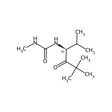 CNC(=O)N[C@H](C(=O)C(C)(C)C)C(C)C